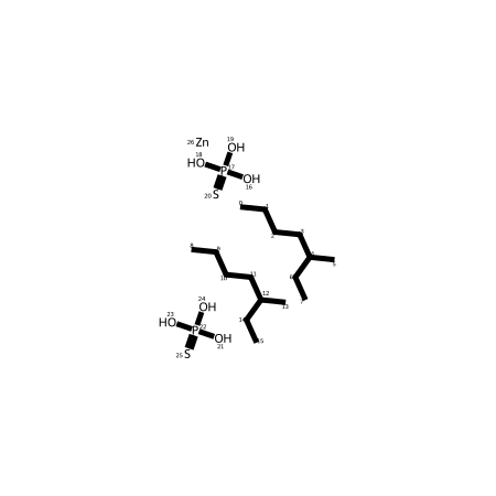 CCCCC(C)CC.CCCCC(C)CC.OP(O)(O)=S.OP(O)(O)=S.[Zn]